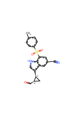 Cc1ccc(S(=O)(=O)c2cc(C#N)cc3c([C@H]4C[C@H]4C=O)c[nH]c23)cc1